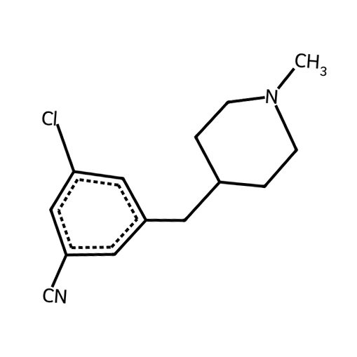 CN1CCC(Cc2cc(Cl)cc(C#N)c2)CC1